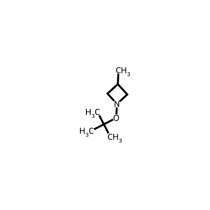 CC1CN(OC(C)(C)C)C1